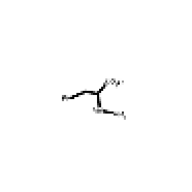 CC(C)CC(NN)C(=O)O